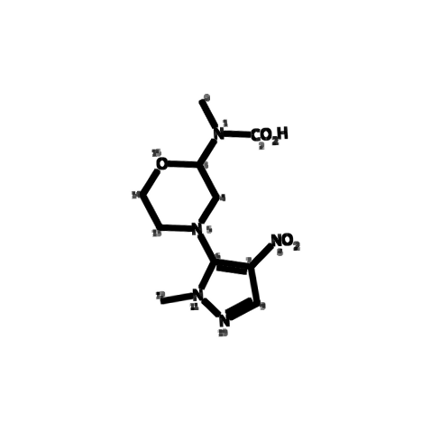 CN(C(=O)O)C1CN(c2c([N+](=O)[O-])cnn2C)CCO1